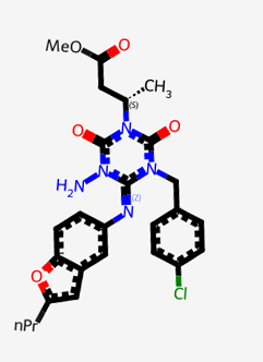 CCCc1cc2cc(/N=c3\n(N)c(=O)n([C@@H](C)CC(=O)OC)c(=O)n3Cc3ccc(Cl)cc3)ccc2o1